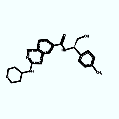 Cc1ccc([C@@H](CO)NC(=O)c2ccc3cnc(NC4CCOCC4)cc3c2)cc1